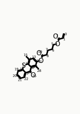 C=CC(=O)OCCCCC(=O)Oc1cc(C)c2sc3ccccc3c(=O)c2c1C